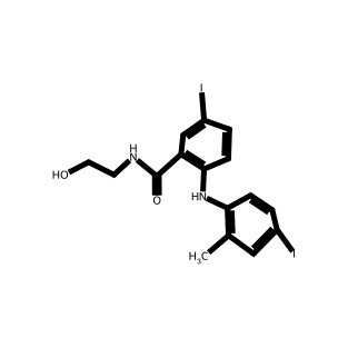 Cc1cc(I)ccc1Nc1ccc(I)cc1C(=O)NCCO